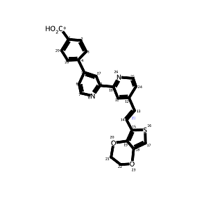 O=C(O)c1ccc(-c2ccnc(-c3cc(/C=C/c4scc5c4OCCO5)ccn3)c2)cc1